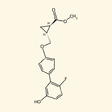 COC(=O)[C@@H]1C[C@H]1COc1ccc(-c2cc(O)ccc2F)cc1